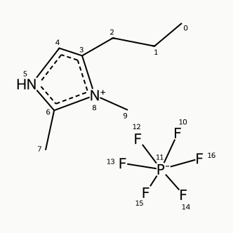 CCCc1c[nH]c(C)[n+]1C.F[P-](F)(F)(F)(F)F